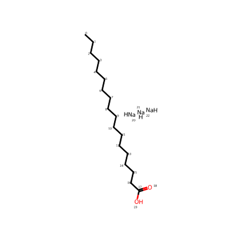 CCCCCCCCCCCCCCCCCC(=O)O.[NaH].[NaH].[NaH]